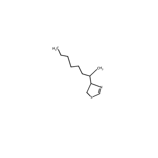 CCCCCCC(C)C1CS[C]=N1